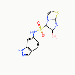 BC1N=C2SC=CN2C1S(=O)(=O)Nc1ccc2cn[nH]c2c1